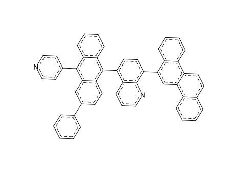 c1ccc(-c2ccc3c(-c4ccc(-c5cc6c7ccccc7ccc6c6ccccc56)c5ncccc45)c4ccccc4c(-c4ccncc4)c3c2)cc1